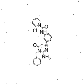 C[C@@]1(c2cccc(NC(=O)N3CC=CC=C3Cl)c2)CC(=O)N(Cc2ccccc2)C(N)=N1